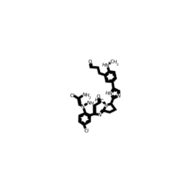 CNc1ccc(-c2cnc(C3CC/C(=N/C(=C\C=O)c4cc(Cl)ccc4N(N)/C=C(\N)Cl)N3C)[nH]2)cc1CCC=O